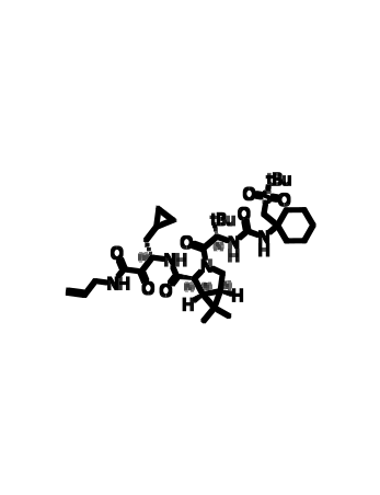 C=CCNC(=O)C(=O)[C@H](CC1CC1)NC(=O)[C@@H]1[C@@H]2[C@H](CN1C(=O)[C@@H](NC(=O)NC1(CS(=O)(=O)C(C)(C)C)CCCCC1)C(C)(C)C)C2(C)C